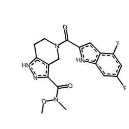 CON(C)C(=O)c1n[nH]c2c1CN(C(=O)c1cc3c(F)cc(F)cc3[nH]1)CC2